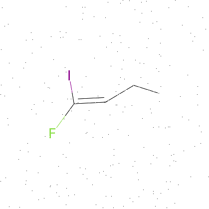 CC/C=C(/F)I